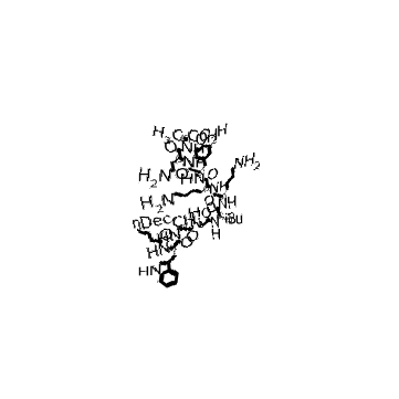 CCCCCCCCCCCCCC(=O)N[C@@H](Cc1c[nH]c2ccccc12)C(=O)N[C@@H](C)C(=O)NCC(=O)N[C@H](C(=O)N[C@@H](CCCCN)C(=O)N[C@@H](CCCCN)C(=O)N[C@@H](Cc1ccc(O)cc1)C(=O)N[C@@H](CCN)C(=O)N[C@@H](C)C(=O)O)[C@@H](C)CC